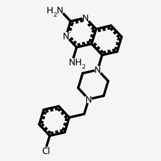 Nc1nc(N)c2c(N3CCN(Cc4cccc(Cl)c4)CC3)cccc2n1